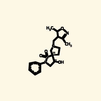 CC1=NOC(C)C1CN1CC[C@@]2(C1)[C@@H](O)CN(c1ccccc1)S2(=O)=O